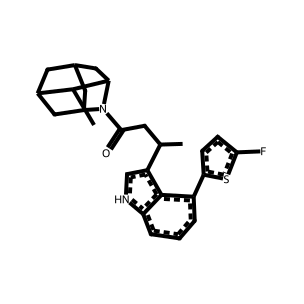 CC(CC(=O)N1C2CC3CC(C2)C(C)C1C3)c1c[nH]c2cccc(-c3ccc(F)s3)c12